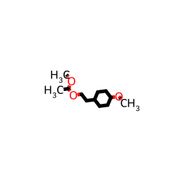 COC1CCC(CCOC(C)OC)CC1